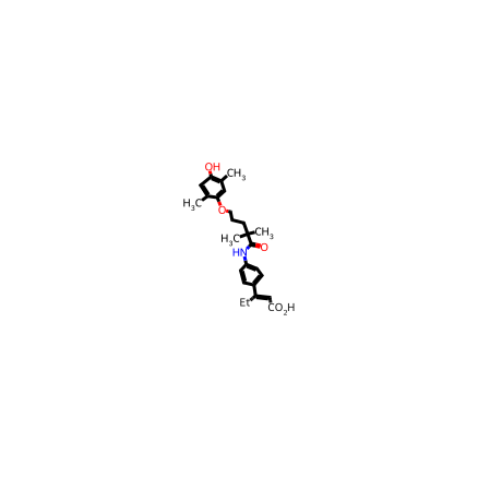 CCC(=CC(=O)O)c1ccc(NC(=O)C(C)(C)CCCOc2cc(C)c(O)cc2C)cc1